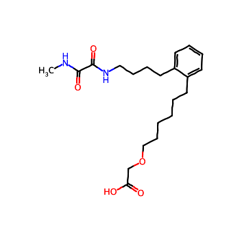 CNC(=O)C(=O)NCCCCc1ccccc1CCCCCCOCC(=O)O